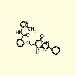 Cn1nccc1NC(=O)c1ccccc1OCc1cc(=O)n2nc(-c3ccccc3)nc2[nH]1